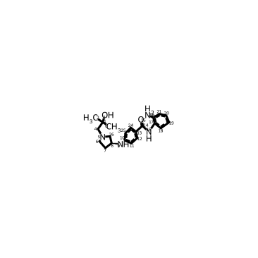 CC(C)(O)CN1CC[C@H](Nc2ccc(C(=O)Nc3ccccc3N)cc2)C1